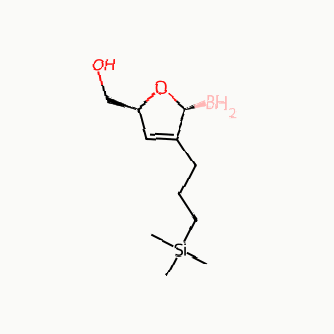 B[C@@H]1O[C@H](CO)C=C1CCC[Si](C)(C)C